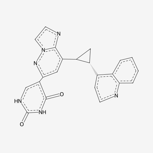 O=c1[nH]cc(-c2cc(C3C[C@@H]3c3ccnc4ccccc34)c3nccn3n2)c(=O)[nH]1